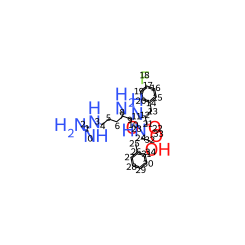 N=C(N)NCCC[C@H](N)C(=O)N[C@@H](Cc1ccc(F)cc1)C(=O)N[C@@H](Cc1ccccc1)C(=O)O